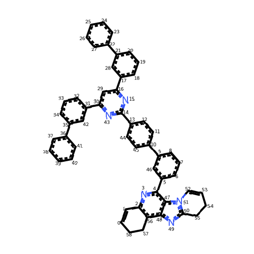 C1=Cc2nc(-c3cccc(-c4ccc(-c5nc(-c6cccc(-c7ccccc7)c6)cc(-c6cccc(-c7ccccc7)c6)n5)cc4)c3)c3c(nc4n3C=CCC4)c2CC1